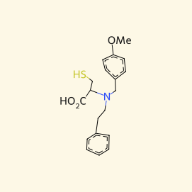 COc1ccc(CN(CCc2ccccc2)C(CS)C(=O)O)cc1